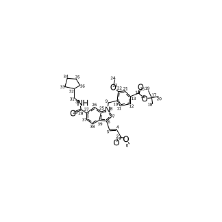 COC(=O)/C=C/c1cn(Cc2ccc(C(=O)OC(C)(C)C)cc2OC)c2cc(C(=O)NCC3CCCC3)ccc12